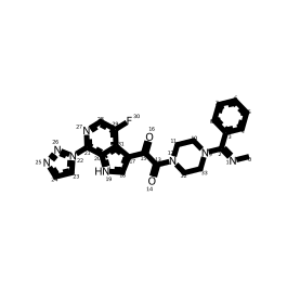 C/N=C(\c1ccccc1)N1CCN(C(=O)C(=O)c2c[nH]c3c(-n4ccnn4)ncc(F)c23)CC1